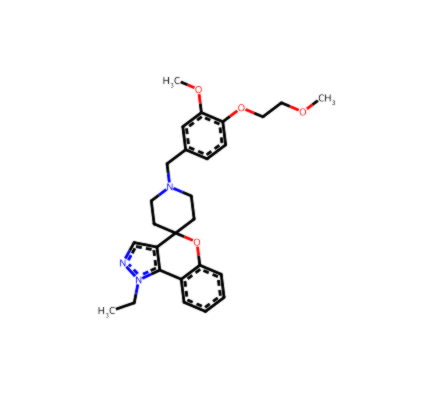 CCn1ncc2c1-c1ccccc1OC21CCN(Cc2ccc(OCCOC)c(OC)c2)CC1